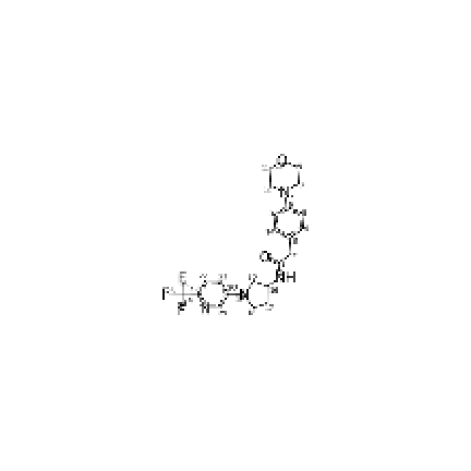 O=C(Cc1ccc(N2CCOCC2)cc1)NC1CCN(c2ccc(C(F)(F)F)nc2)C1